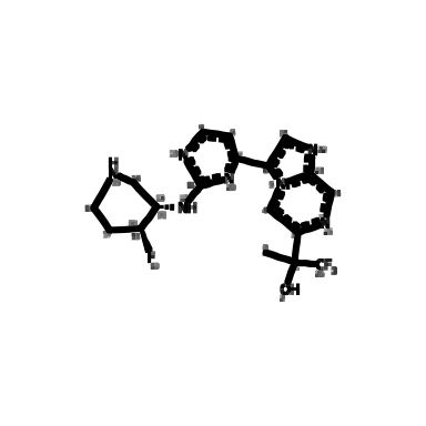 CC(O)(c1cn2c(-c3ccnc(N[C@H]4CNCC[C@@H]4F)n3)cnc2cn1)C(F)(F)F